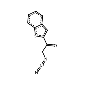 [N-]=[N+]=NCC(=O)c1cc2ccccc2s1